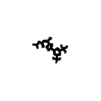 CC(C)OC(=O)/C=C(/Br)n1cnc(-c2cc(C(F)(F)F)cc(C(F)(F)F)c2)n1